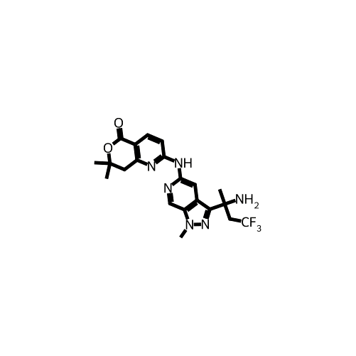 Cn1nc(C(C)(N)CC(F)(F)F)c2cc(Nc3ccc4c(n3)CC(C)(C)OC4=O)ncc21